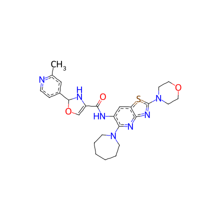 Cc1cc(C2NC(C(=O)Nc3cc4sc(N5CCOCC5)nc4nc3N3CCCCCC3)=CO2)ccn1